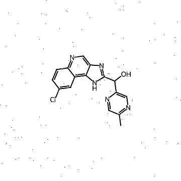 Cc1cnc(C(O)c2nc3cnc4ccc(Cl)cc4c3[nH]2)cn1